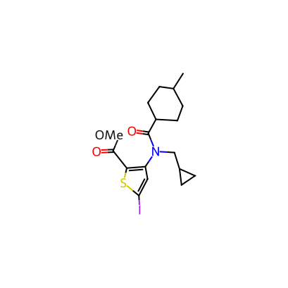 COC(=O)c1sc(I)cc1N(CC1CC1)C(=O)C1CCC(C)CC1